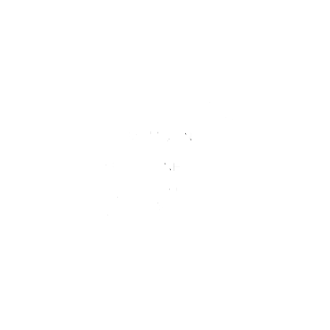 CS(=O)(=O)C(C1CC1)C(NC(=O)N1CCOCC1)C(=O)O